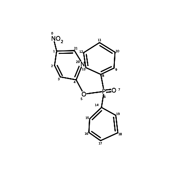 O=[N+]([O-])c1ccc(OP(=O)(c2ccccc2)c2ccccc2)nc1